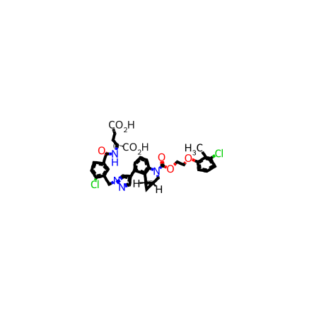 Cc1c(Cl)cccc1OCCOC(=O)N1C[C@@H]2C[C@@H]2c2c(-c3cnn(Cc4cc(C(=O)N[C@H](CCC(=O)O)C(=O)O)ccc4Cl)c3)cccc21